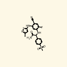 Cc1cc(Nc2cc(NC(C(N)=O)c3ccc(S(C)(=O)=O)cc3)c(F)cc2C#N)sn1